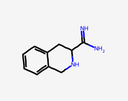 N=C(N)C1Cc2ccccc2CN1